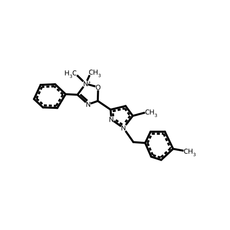 Cc1ccc(Cn2nc(C3N=C(c4ccccc4)[N+](C)(C)O3)cc2C)cc1